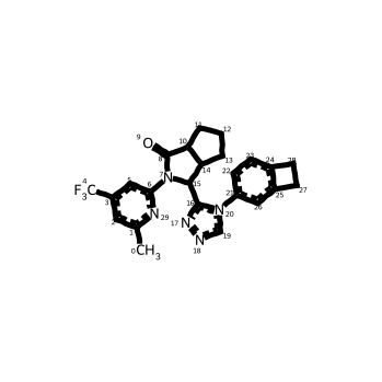 Cc1cc(C(F)(F)F)cc(N2C(=O)C3CCCC3C2c2nncn2-c2ccc3c(c2)CC3)n1